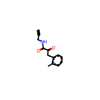 C#CCNC(=O)C(=O)Cc1ccccc1C